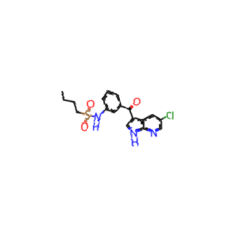 CCCCS(=O)(=O)Nc1cccc(C(=O)c2c[nH]c3ncc(Cl)cc23)c1